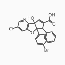 O=C(O)C1=CC2(O)c3ncc(Cl)cc3OC2(c2ccc(Br)cc2)C1c1ccccc1